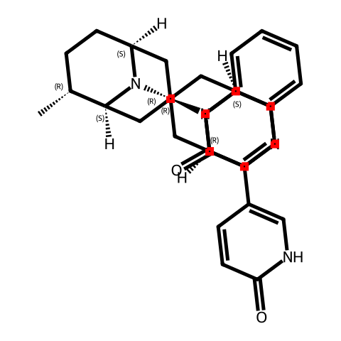 C[C@@H]1CC[C@H]2C[C@@H](n3c(=O)c(-c4ccc(=O)[nH]c4)nc4ccccc43)C[C@@H]1N2[C@H]1C[C@@H]2CCC[C@@H](C2)C1